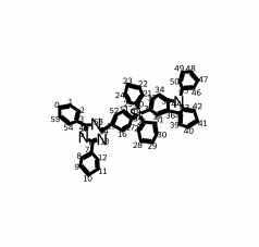 c1ccc(-c2nc(-c3ccccc3)nc(-c3ccc([Si](c4ccccc4)(c4ccccc4)c4ccc5c(c4)c4ccccc4n5-c4ccccc4)cc3)n2)cc1